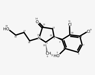 C[C@H]1[C@H](c2c(O)ccc(Cl)c2Cl)CC(=O)N1CCCO